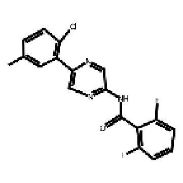 Cc1ccc(Cl)c(-c2cnc(NC(=O)c3c(F)cccc3F)cn2)c1